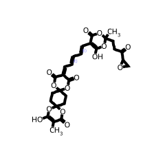 CC1=C(O)OC2(CCC3(CC2)OC(=O)C(=C/C=C/C=C/C2=C(O)OC(C)(CCC(=O)C4CO4)OC2=O)C(=O)O3)OC1=O